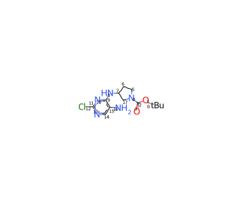 CC(C)(C)OC(=O)N1CCC(Nc2nc(Cl)ncc2N)C1